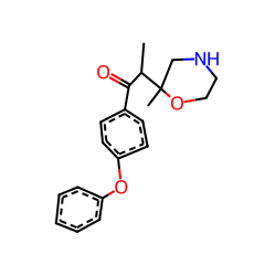 CC(C(=O)c1ccc(Oc2ccccc2)cc1)C1(C)CNCCO1